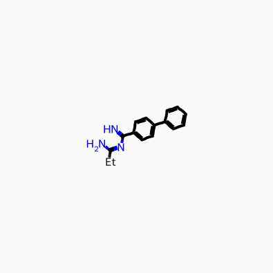 CC/C(N)=N/C(=N)c1ccc(-c2ccccc2)cc1